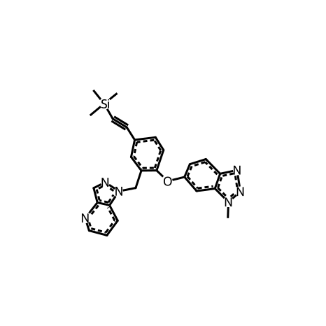 Cn1nnc2ccc(Oc3ccc(C#C[Si](C)(C)C)cc3Cn3ncc4ncccc43)cc21